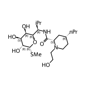 CCC[C@@H]1CCN(CCO)[C@H](C(=O)N[C@H](C(C)C)[C@H]2O[C@H](SC)[C@H](O)[C@@H](O)[C@H]2O)C1